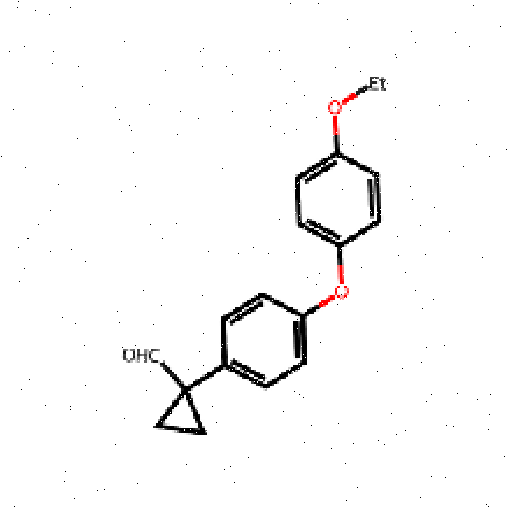 CCOc1ccc(Oc2ccc(C3(C=O)CC3)cc2)cc1